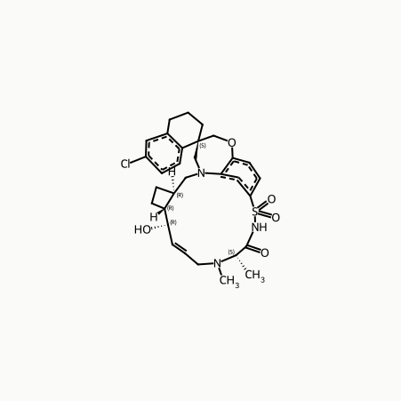 C[C@H]1C(=O)NS(=O)(=O)c2ccc3c(c2)N(C[C@@H]2CC[C@H]2[C@@H](O)C=CCN1C)C[C@@]1(CCCc2cc(Cl)ccc21)CO3